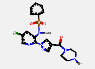 CCCCN(c1cc(Cl)cnc1-n1cc(C(=O)N2CCN(C(C)C)CC2)cn1)S(=O)(=O)c1ccccc1